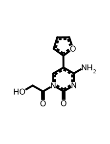 Nc1nc(=O)n(C(=O)CO)cc1-c1ccco1